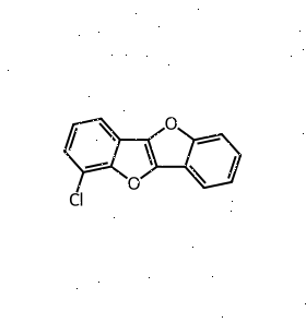 Clc1cccc2c1oc1c3ccccc3oc21